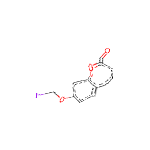 O=c1ccc2ccc(OCI)cc2o1